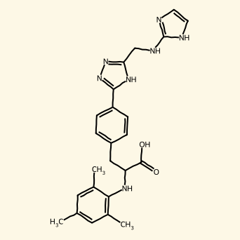 Cc1cc(C)c(NC(Cc2ccc(-c3nnc(CNc4ncc[nH]4)[nH]3)cc2)C(=O)O)c(C)c1